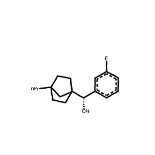 CCCC12CCC([C@@H](O)c3cccc(F)c3)(CC1)C2